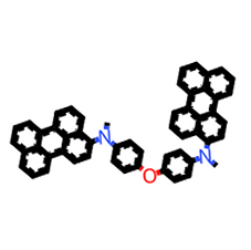 CN(c1ccc(Oc2ccc(N(C)c3ccc4c5cccc6cccc(c7cccc3c74)c65)cc2)cc1)c1ccc2c3cccc4cccc(c5cccc1c52)c43